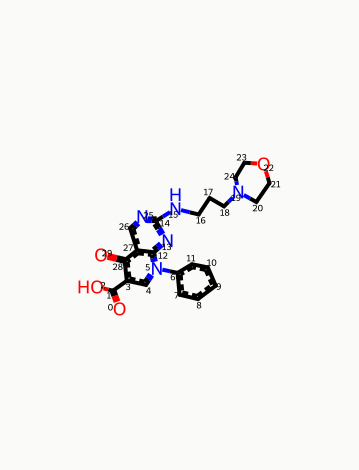 O=C(O)c1cn(-c2ccccc2)c2nc(NCCCN3CCOCC3)ncc2c1=O